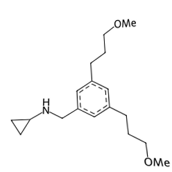 COCCCc1cc(CCCOC)cc(CNC2CC2)c1